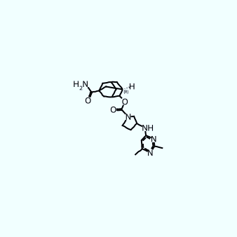 Cc1cc(NC2CCN(C(=O)OC3C4CC5C[C@@H]3CC(C(N)=O)(C5)C4)C2)nc(C)n1